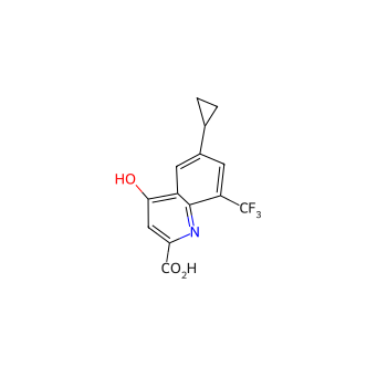 O=C(O)c1cc(O)c2cc(C3CC3)cc(C(F)(F)F)c2n1